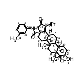 Cc1cccc(NC(=O)[C@@]23CC[C@]4(C)[C@H](CC[C@@H]5[C@@]6(C)CC[C@H](O)C(C)(C)[C@@H]6CC[C@]54C)C2=C(C(C)C)C(=O)C3)c1